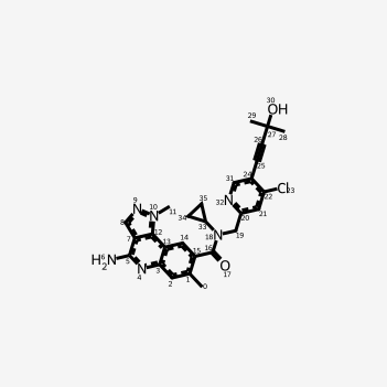 Cc1cc2nc(N)c3cnn(C)c3c2cc1C(=O)N(Cc1cc(Cl)c(C#CC(C)(C)O)cn1)C1CC1